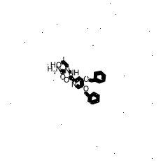 C[C@@H](O)CN(NC(=O)c1cc(OCc2ccccc2)c(OCc2ccccc2)cn1)C(N)=O